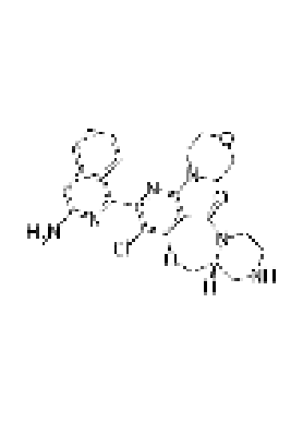 Nc1cc2ccccc2c(-c2nc(N3CCOCC3)c3c(c2Cl)OC[C@H]2CNCCN2C3=O)n1